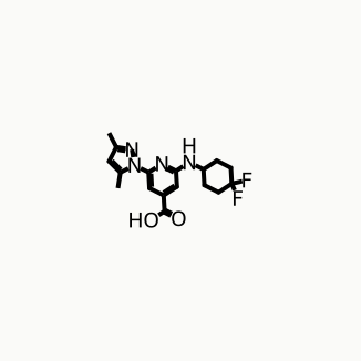 Cc1cc(C)n(-c2cc(C(=O)O)cc(NC3CCC(F)(F)CC3)n2)n1